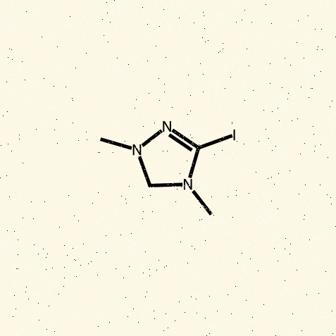 CN1CN(C)C(I)=N1